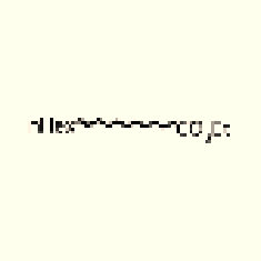 CCCCCCC=CCCCCCCCCCC(=O)OCC